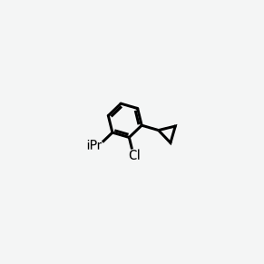 [CH2]C(C)c1cccc(C2CC2)c1Cl